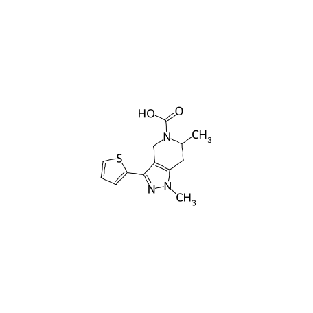 CC1Cc2c(c(-c3cccs3)nn2C)CN1C(=O)O